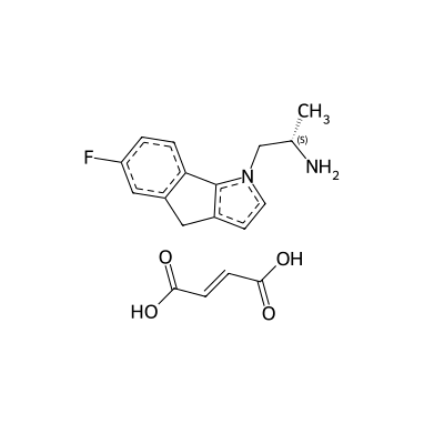 C[C@H](N)Cn1ccc2c1-c1ccc(F)cc1C2.O=C(O)C=CC(=O)O